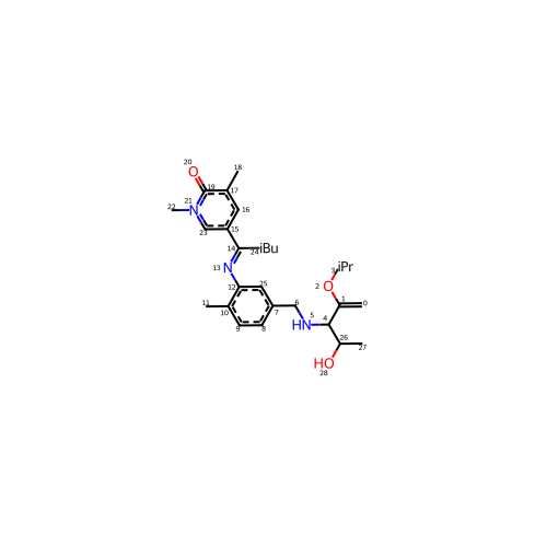 C=C(OC(C)C)C(NCc1ccc(C)c(/N=C(/c2cc(C)c(=O)n(C)c2)C(C)CC)c1)C(C)O